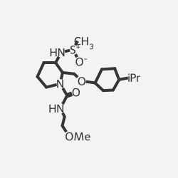 COCCNC(=O)N1CCCC(N[S+](C)[O-])C1COC1CCC(C(C)C)CC1